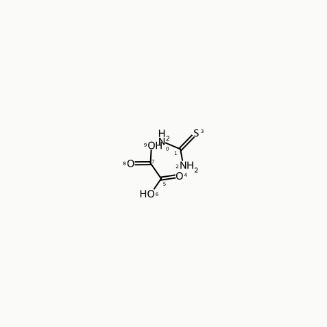 NC(N)=S.O=C(O)C(=O)O